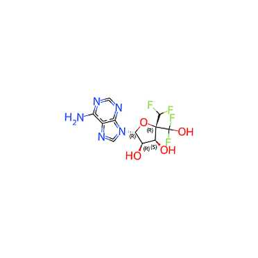 Nc1ncnc2c1ncn2[C@@H]1O[C@](C(F)F)(C(O)(F)F)[C@@H](O)[C@H]1O